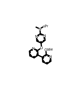 CCCN(C)c1ncc(Oc2ncccc2-c2cccnc2OC)cn1